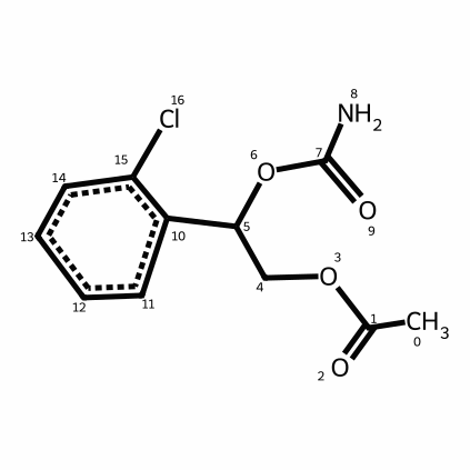 CC(=O)OCC(OC(N)=O)c1ccccc1Cl